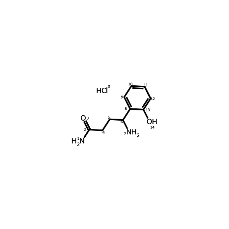 Cl.NC(=O)CCC(N)c1ccccc1O